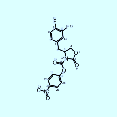 O=C1OCC(Cc2ccc(F)c(F)c2)N1C(=O)Oc1ccc([N+](=O)[O-])cc1